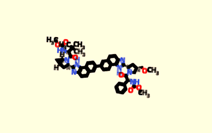 COC[C@H]1C[C@@H](c2nc3ccc4cc(-c5ccc6c(ccc7nc([C@@H]8C[C@H]9C[C@H]9N8C(=O)[C@@H](NC(=O)OC)C(C)(C)C)[nH]c76)c5)ccc4c3[nH]2)N(C(=O)[C@H](NC(=O)OC)c2ccccc2)C1